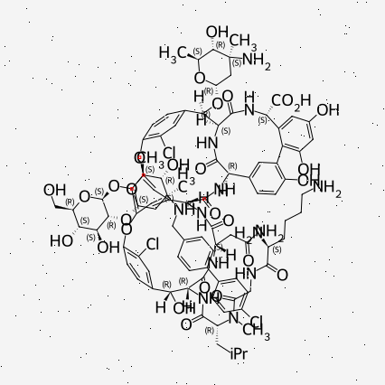 CC(C)C[C@H](C(=O)N[C@H]1C(=O)N[C@@H](CC(N)=O)C(=O)N[C@H]2C(=O)N[C@H]3C(=O)N[C@H](C(=O)N[C@H](C(=O)O)c4cc(O)cc(O)c4-c4cc3ccc4O)[C@H](O[C@H]3C[C@](C)(N)[C@@H](O)[C@H](C)O3)c3ccc(c(Cl)c3)Oc3cc2cc(c3O[C@@H]2O[C@H](CO)[C@@H](O)[C@H](O)[C@H]2O[C@H]2C[C@](C)(NCc3ccc(-c4ccc(Cl)cc4)cc3)[C@@H](O)[C@H](C)O2)Oc2ccc(cc2Cl)[C@H]1O)N(C)C(=O)CNC(=O)[C@@H](N)CCCCN